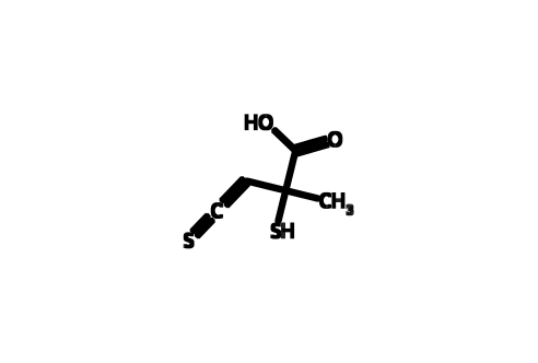 CC(S)(C=C=S)C(=O)O